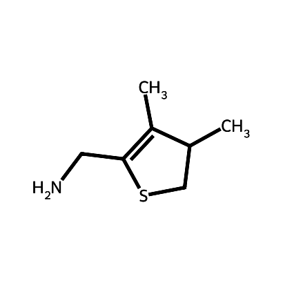 CC1=C(CN)SCC1C